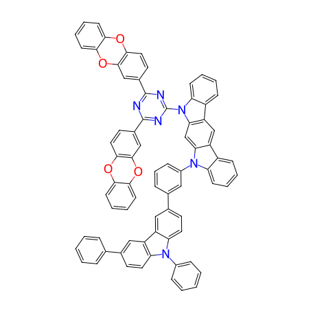 c1ccc(-c2ccc3c(c2)c2cc(-c4cccc(-n5c6ccccc6c6cc7c8ccccc8n(-c8nc(-c9ccc%10c(c9)Oc9ccccc9O%10)nc(-c9ccc%10c(c9)Oc9ccccc9O%10)n8)c7cc65)c4)ccc2n3-c2ccccc2)cc1